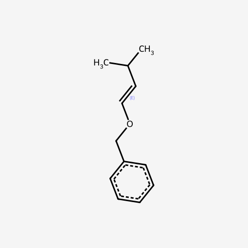 CC(C)/C=C/OCc1ccccc1